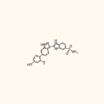 COc1cc(O)ccc1-c1ccc2c(-c3nc4cc(S(N)(=O)=O)ccc4[nH]3)n[nH]c2c1